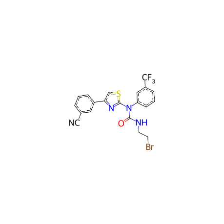 N#Cc1cccc(-c2csc(N(C(=O)NCCBr)c3cccc(C(F)(F)F)c3)n2)c1